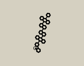 c1ccc(-c2c3ccccc3c(-c3cccc4c(-c5cccc6c(-c7c8ccccc8c(-c8ccc9oc%10ccccc%10c9c8)c8ccccc78)cccc56)cccc34)c3ccccc23)cc1